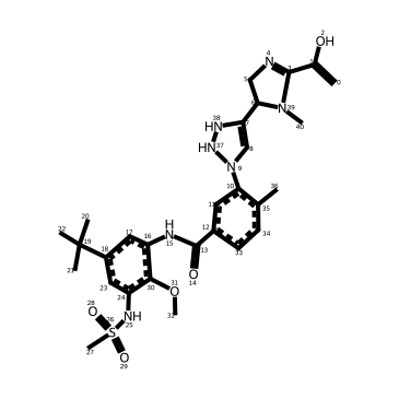 C=C(O)C1=NCC(C2=CN(c3cc(C(=O)Nc4cc(C(C)(C)C)cc(NS(C)(=O)=O)c4OC)ccc3C)NN2)N1C